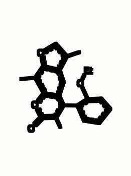 CCOc1ccccc1-c1c(C)c(=O)oc2c(C)c3occ(C)c3cc12